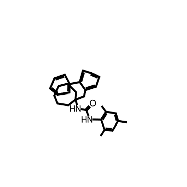 Cc1cc(C)c(NC(=O)NC2(Cc3ccccc3-c3ccccc3)CCCCCC2)c(C)c1